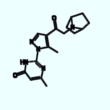 Cc1cc(=O)[nH]c(-n2ncc(C(=O)CN3C4CCC3CC4)c2C)n1